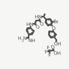 CC(NC(=O)CC(=O)Nc1ccc(C(=N)N)cc1)c1ccc(Oc2cccc(CO)c2)c(Br)c1.O=C(O)C(F)(F)F